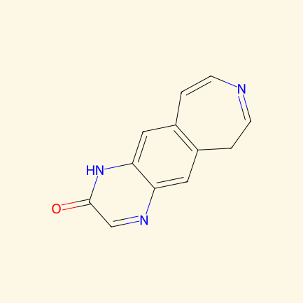 O=c1cnc2cc3c(cc2[nH]1)C=CN=CC3